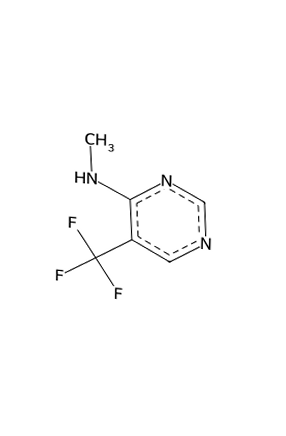 CNc1ncncc1C(F)(F)F